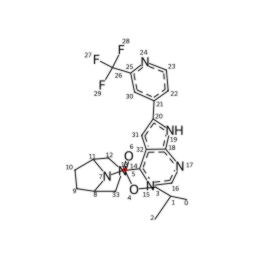 CC(C)COC(=O)N1C2CCC1CN(c1ncnc3[nH]c(-c4ccnc(C(F)(F)F)c4)cc13)C2